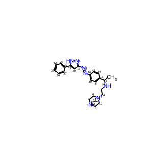 CC(NCC[N+]12CCN(CC1)CC2)c1ccc(N=Nc2cc(-c3ccccc3)[nH]n2)cc1